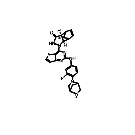 CN1CC2CC1CN2c1ccc(Nc2nc(N3NC(=O)[C@H]4C5C=CC(C5)[C@H]43)c3sccc3n2)cc1F